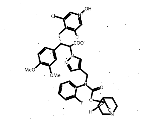 COc1ccc([C@H](Cc2c(Cl)c[n+](O)cc2Cl)C(C(=O)[O-])n2cc(CN(C(=O)O[C@H]3CN4CCC3CC4)c3ccccc3F)cn2)cc1OC